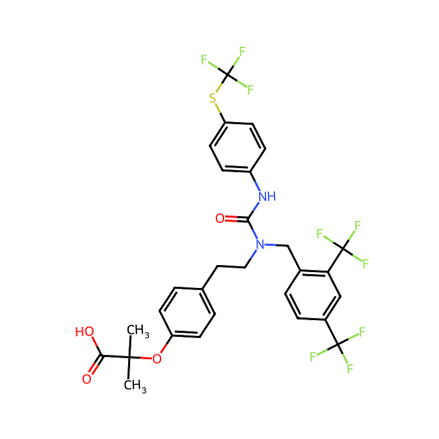 CC(C)(Oc1ccc(CCN(Cc2ccc(C(F)(F)F)cc2C(F)(F)F)C(=O)Nc2ccc(SC(F)(F)F)cc2)cc1)C(=O)O